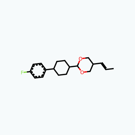 CC=CC1COC(C2CCC(c3ccc(F)cc3)CC2)OC1